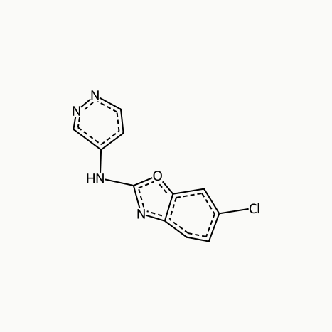 Clc1ccc2nc(Nc3ccnnc3)oc2c1